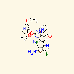 COCCCN1CC2CCC(C1)N2c1nc(OCC23CCCN2CC(OC)C3)nc2c(F)c(-c3ncc(F)c4sc(N)c(C#N)c34)c3c(c12)COC3